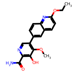 CCOc1ccc2cc(-c3cnc(C(N)=O)c(O)c3OC)ccc2n1